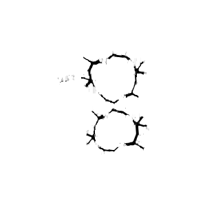 C/C1=N\CCNC(C)(C)C/C(C)=N/CCNC(C)(C)C1.C/C1=N\CCNC(C)(C)C/C(C)=N/CCNC(C)(C)C1.[Cl-].[Cl-].[Mn+2]